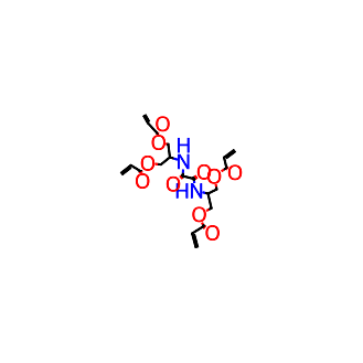 C=CC(=O)OCC(COC(=O)C=C)NC(=O)C(=O)NC(COC(=O)C=C)COC(=O)C=C